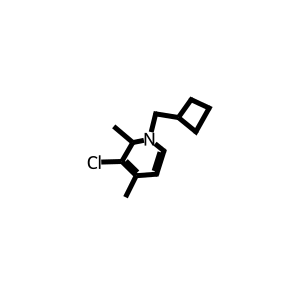 CC1=C(Cl)C(C)N(CC2CCC2)C=C1